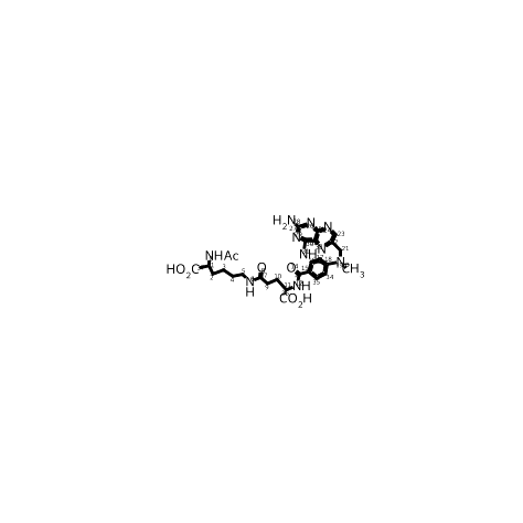 CC(=O)NC(CCCCNC(=O)CC[C@H](NC(=O)c1ccc(N(C)Cc2cnc3nc(N)nc(N)c3n2)cc1)C(=O)O)C(=O)O